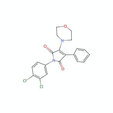 O=C1C(c2ccccc2)=C(N2CCOCC2)C(=O)N1c1ccc(Cl)c(Cl)c1